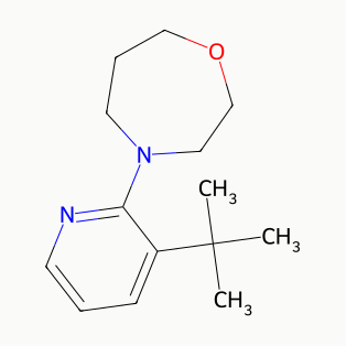 CC(C)(C)c1cccnc1N1CCCOCC1